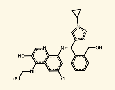 CC(C)(C)CNc1c(C#N)cnc2c(N[C@H](c3cn(C4CC4)nn3)c3ccccc3CO)cc(Cl)cc12